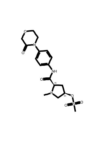 CN1C[C@H](OS(C)(=O)=O)C[C@@H]1C(=O)Nc1ccc(N2CCOCC2=O)cc1